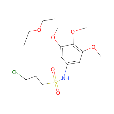 CCOCC.COc1cc(NS(=O)(=O)CCCCl)cc(OC)c1OC